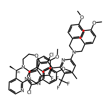 COc1ccc(CN(Cc2ccc(OC)cc2)c2cc(C)c(C(F)(F)F)c(-c3c(Cl)c4c5c(nc(Cl)nc5c3F)N([C@H](C)c3cccnc3N(Cc3ccc(OC)cc3)Cc3ccc(OC)cc3)CCO4)n2)cc1